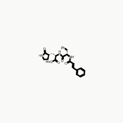 COC(=O)[C@H](C[C@@H]1CCNC1=O)NC(=O)[C@H](CC(C)C)NC(=O)/C=C/c1ccccc1